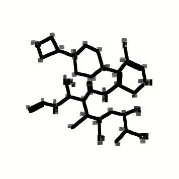 C=CNC(N)C(C(=O)NC1=C(N2CCN(C3COC3)CC2)C(F)=CNC1)C(C)N(CC)CC(CC)C(C)C#N